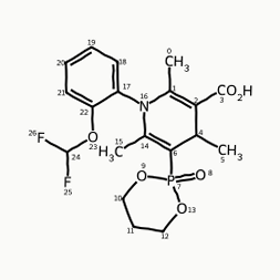 CC1=C(C(=O)O)C(C)C(P2(=O)OCCCO2)=C(C)N1c1ccccc1OC(F)F